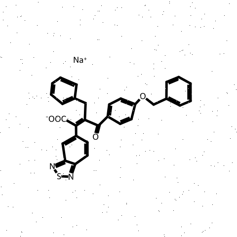 O=C([O-])/C(=C(\Cc1ccccc1)C(=O)c1ccc(OCc2ccccc2)cc1)c1ccc2nsnc2c1.[Na+]